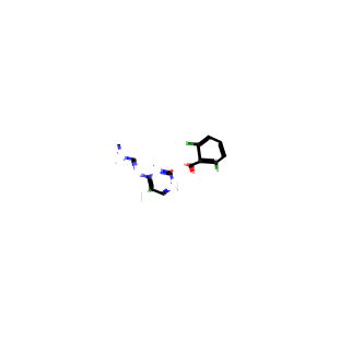 CN(C)/C=N/c1nc(OC(=O)c2c(Cl)cccc2Cl)ncc1F